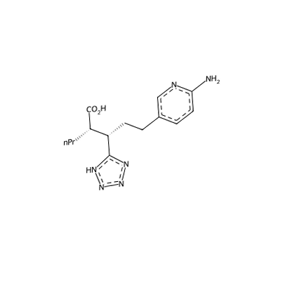 CCC[C@H](C(=O)O)[C@H](CCc1ccc(N)nc1)c1nnn[nH]1